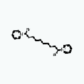 BrC(CCCCCCCCC(Br)[n+]1ccccc1)[n+]1ccccc1